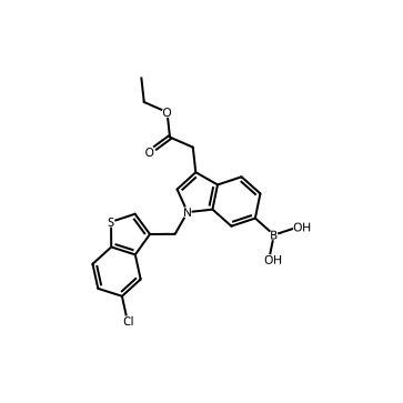 CCOC(=O)Cc1cn(Cc2csc3ccc(Cl)cc23)c2cc(B(O)O)ccc12